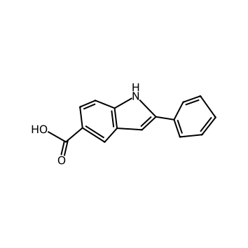 O=C(O)c1ccc2[nH]c(-c3ccccc3)cc2c1